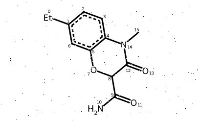 CCc1[c]cc2c(c1)OC(C(N)=O)C(=O)N2C